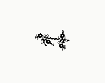 CCOC(=O)C1=C(C)N(c2cccc(C(F)(F)F)c2)C(=O)N(C(=O)CCCCCCCC(=O)N2C(=O)N(c3cccc(C(F)(F)F)c3)C(C)=C(C(=O)OCC)C2c2ccc(C#N)cc2)C1c1ccc(C#N)cc1